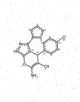 N#CC1=C(N)Oc2[nH]nc(-c3cccs3)c2C1c1ccc(Cl)cc1